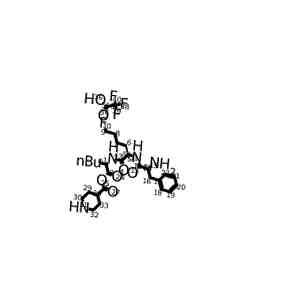 CCCCC(NC(=O)[C@@H](CCCCF)NC(=O)[C@H](N)Cc1ccccc1)C(=O)OC(=O)C1CCNCC1.O=C(O)C(F)(F)F